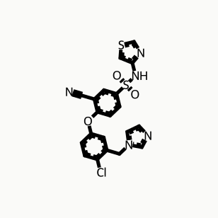 N#Cc1cc(S(=O)(=O)Nc2cscn2)ccc1Oc1ccc(Cl)c(Cn2ccnc2)c1